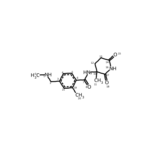 CNCc1ccc(C(=O)NC2(C)CCC(=O)NC2=O)c(C)c1